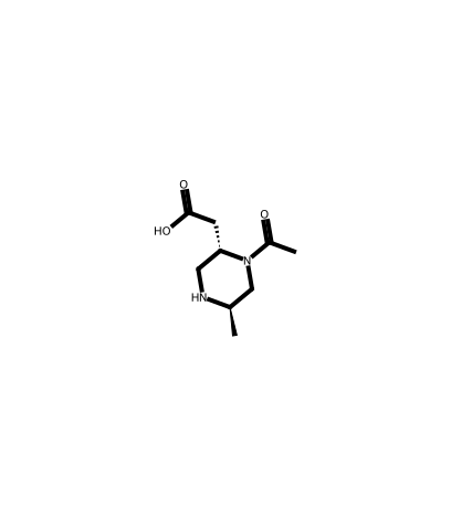 CC(=O)N1C[C@@H](C)NC[C@@H]1CC(=O)O